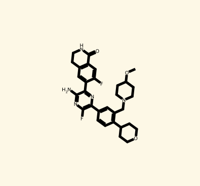 COC1CCN(Cc2cc(-c3nc(-c4cc5c(cc4F)C(=O)NCC5)c(N)nc3F)ccc2C2CCOCC2)CC1